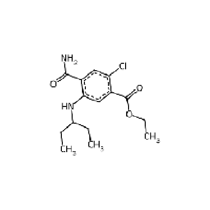 CCOC(=O)c1cc(NC(CC)CC)c(C(N)=O)cc1Cl